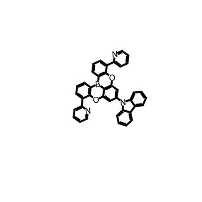 c1ccc(-c2cccc3c2Oc2cc(-n4c5ccccc5c5ccccc54)cc4c2B3c2cccc(-c3ccccn3)c2O4)nc1